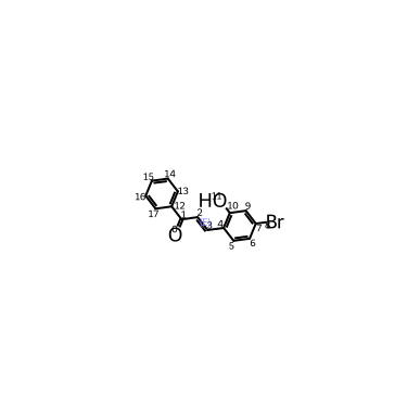 O=C(/C=C/c1ccc(Br)cc1O)c1ccccc1